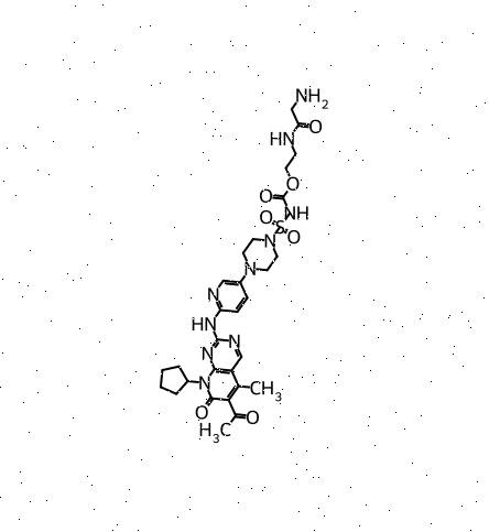 CC(=O)c1c(C)c2cnc(Nc3ccc(N4CCN(S(=O)(=O)NC(=O)OCCNC(=O)CN)CC4)cn3)nc2n(C2CCCC2)c1=O